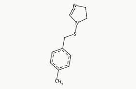 Cc1ccc(CSN2C=NCC2)cc1